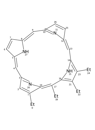 CCC1=Cc2cc3ccc(cc4nc(cc5[nH]c(c(CC)c1n2)c(CC)c5CC)C=C4)[nH]3